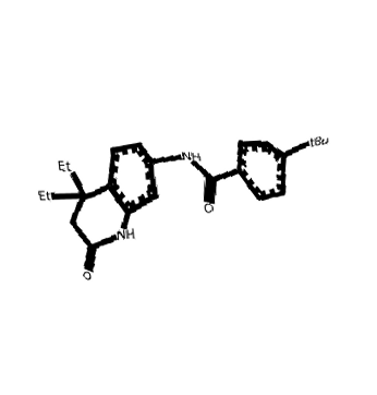 CCC1(CC)CC(=O)Nc2cc(NC(=O)c3ccc(C(C)(C)C)cc3)ccc21